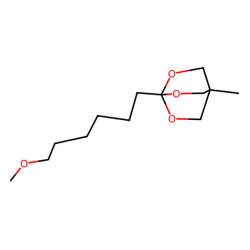 COCCCCCCC12OCC(C)(CO1)CO2